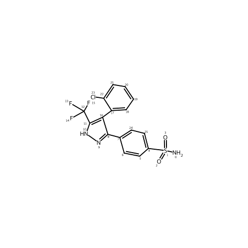 NS(=O)(=O)c1ccc(-c2n[nH]c(C(F)(F)F)c2-c2ccccc2Cl)cc1